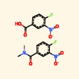 CN(C)C(=O)c1ccc(F)c([N+](=O)[O-])c1.O=C(O)c1ccc(F)c([N+](=O)[O-])c1